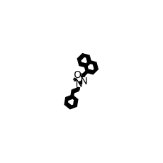 C(=CN1COC(c2cccc3ccccc23)=N1)c1ccccc1